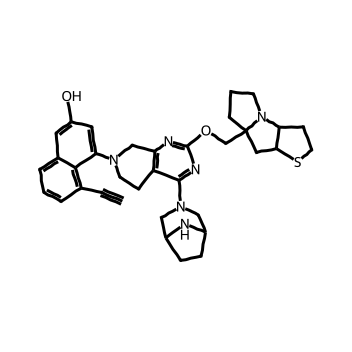 C#Cc1cccc2cc(O)cc(N3CCc4c(nc(OCC56CCCN5C5CCSC5C6)nc4N4CC5CCC(C4)N5)C3)c12